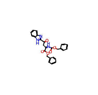 O=C(N[C@H](CC(=O)c1nc2ccccc2[nH]1)C(=O)OCc1ccccc1)OCc1ccccc1